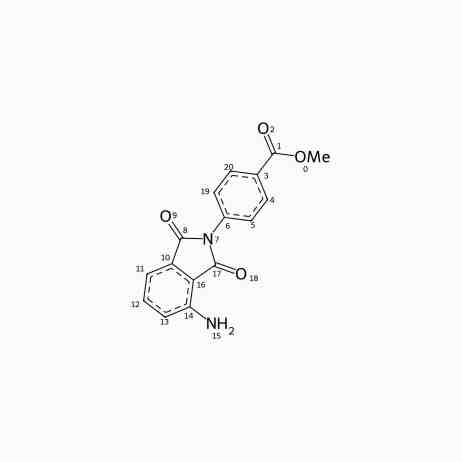 COC(=O)c1ccc(N2C(=O)c3cccc(N)c3C2=O)cc1